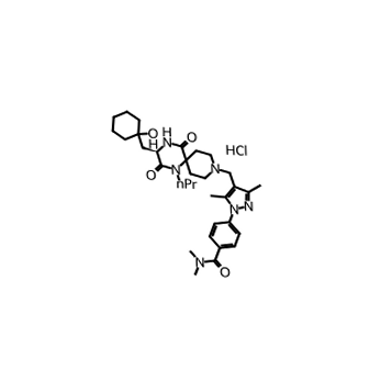 CCCN1C(=O)[C@@H](CC2(O)CCCCC2)NC(=O)C12CCN(Cc1c(C)nn(-c3ccc(C(=O)N(C)C)cc3)c1C)CC2.Cl